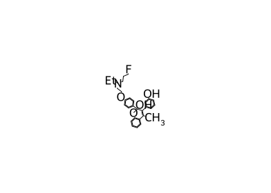 CCN(CCCF)CCOc1ccc(C2(O)Oc3ccccc3C(C)=C2c2cccc(O)c2)cc1